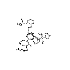 Cc1ccc(S(=O)(=O)n2ccc3c(-c4cccc(CN)c4F)cc(COc4ccccc4CC(=O)O)nc32)cc1